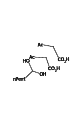 CC(=O)CC(=O)O.CC(=O)CC(=O)O.CCCCCC(O)O